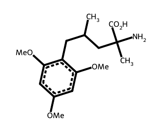 COc1cc(OC)c(CC(C)CC(C)(N)C(=O)O)c(OC)c1